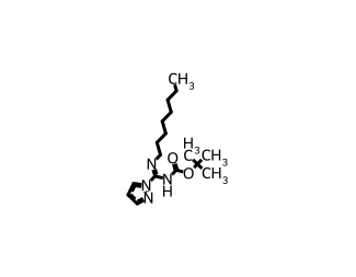 CCCCCCCCN=C(NC(=O)OC(C)(C)C)n1cccn1